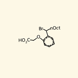 CCCCCCCCC(Br)c1ccccc1OCC(=O)O